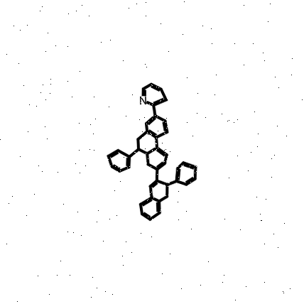 C1=C(C2=Cc3ccccc3CC2c2ccccc2)CC2C(=C1)c1ccc(-c3ccccn3)cc1CC2c1ccccc1